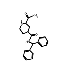 NC(=O)C1CN(C(=O)NC(c2ccccc2)c2ccccc2)CCN1